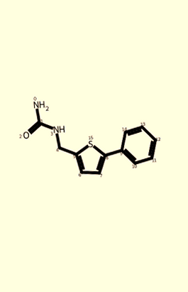 NC(=O)NCc1ccc(-c2ccccc2)s1